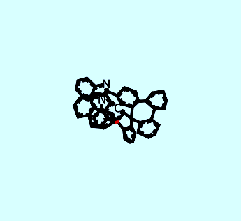 c1ccc(-n2c(-c3ccc4c(c3)C3(c5ccccc5-c5ccccc5-4)c4ccccc4-c4c3cc3ccc5cccc6ccc4c3c56)nc3ccccc32)cc1